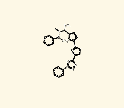 CN(C(N)c1ccc(-c2ccc(-c3nnn(-c4ccccc4)n3)s2)s1)N(N)c1ccccc1